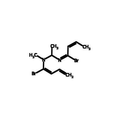 C=C/C=C(/Br)N(C)C(C)/N=C(Br)\C=C/C